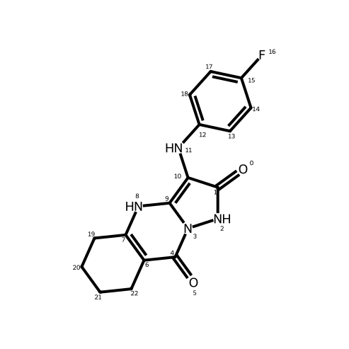 O=c1[nH]n2c(=O)c3c([nH]c2c1Nc1ccc(F)cc1)CCCC3